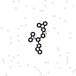 c1ccc2c(c1)ccc1cc(-c3cc(-c4ccc5sc6cc7c8ccccc8c8ccccc8c7cc6c5c4)cc(-n4c5ccccc5c5ccccc54)c3)ccc12